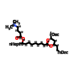 CCCCCCCCCCCCC(CCCCCCCCCCCC)OC(=O)CCCCCCCC(CCCCCCC)OC(=O)CCCN(C)C